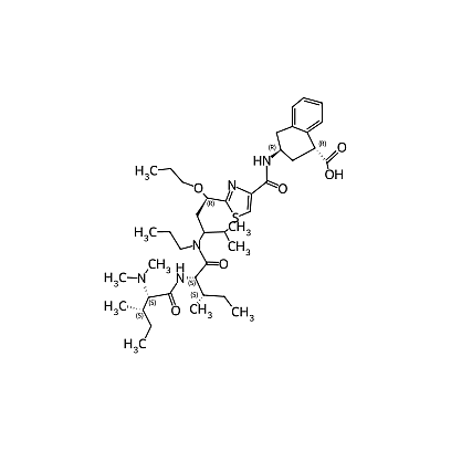 CCCO[C@H](CC(C(C)C)N(CCC)C(=O)[C@@H](NC(=O)[C@H]([C@@H](C)CC)N(C)C)[C@@H](C)CC)c1nc(C(=O)N[C@H]2Cc3ccccc3[C@H](C(=O)O)C2)cs1